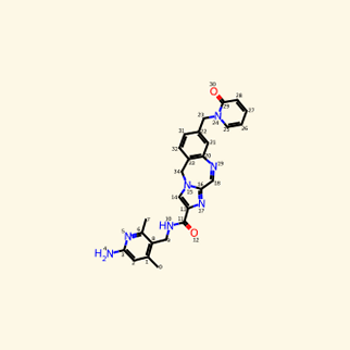 Cc1cc(N)nc(C)c1CNC(=O)c1cn2c(n1)C=Nc1cc(Cn3ccccc3=O)ccc1C2